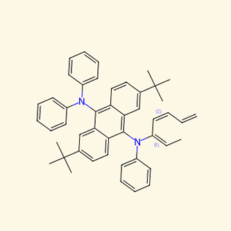 C=C/C=C\C(=C/C)N(c1ccccc1)c1c2cc(C(C)(C)C)ccc2c(N(c2ccccc2)c2ccccc2)c2cc(C(C)(C)C)ccc12